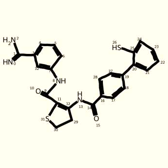 N=C(N)c1cccc(NC(=O)C2=C(NC(=O)c3ccc(-c4ccccc4S)cc3)CCS2)c1